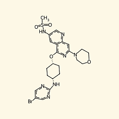 CS(=O)(=O)Nc1cnc2cc(N3CCOCC3)nc(O[C@H]3CC[C@@H](Nc4ncc(Br)cn4)CC3)c2c1